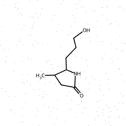 CC1CC(=O)NC1CCCO